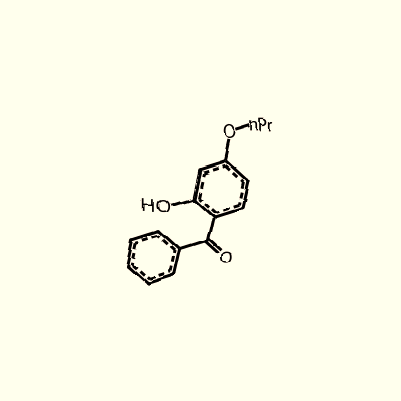 C[CH]COc1ccc(C(=O)c2ccccc2)c(O)c1